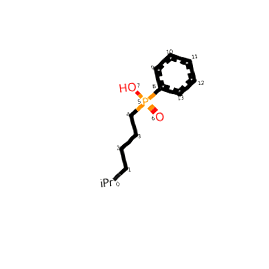 CC(C)CCCCP(=O)(O)c1ccccc1